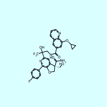 NC(=O)[C@@]1(CO)COc2c1cc(C(O)(CNC(=O)c1cc(OC3CC3)c3ncccc3c1)C(F)(F)F)nc2-c1ccc(F)cc1